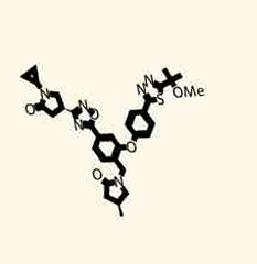 COC(C)(C)c1nnc(-c2ccc(Oc3cc(-c4nc([C@@H]5CC(=O)N(C6CC6)C5)no4)ccc3CN3C[C@@H](C)CC3=O)cc2)s1